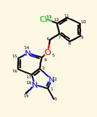 Cc1nc2c(OCc3ccccc3Cl)nccc2n1C